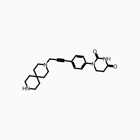 O=C1CCN(c2ccc(C#CCN3CCC4(CCNCC4)CC3)cc2)C(=O)N1